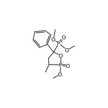 COP1(=O)OC(c2ccccc2)(P(=O)(OC)OC)CC1C